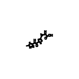 Cc1nnc(NC(=O)c2cc(C3CC3NC(=O)O)cs2)s1